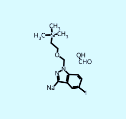 C[Si](C)(C)CCOCn1n[c]([Na])c2cc(I)ccc21.O=CO